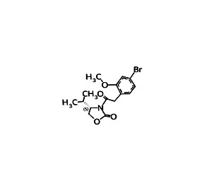 COc1cc(Br)ccc1CC(=O)N1C(=O)OC[C@@H]1C(C)C